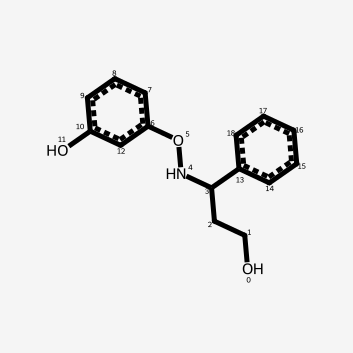 OCCC(NOc1cccc(O)c1)c1ccccc1